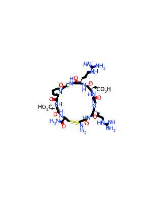 N=C(N)NCCC[C@@H]1NC(=O)[C@H](CC(=O)O)NC(=O)CN[C@H](CCCNC(=N)N)C(=O)NC(=O)[C@@H](N)SSCC(C(N)=O)NC(=O)[C@H](CC(=O)O)NC(=O)C2CCCN2C(=O)CNC1=O